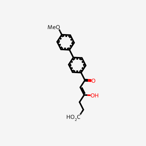 COc1ccc(-c2ccc(C(=O)/C=C(\O)CCC(=O)O)cc2)cc1